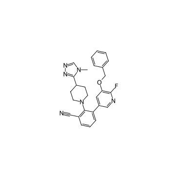 Cn1cnnc1C1CCN(c2c(C#N)cccc2-c2cnc(F)c(OCc3ccccc3)c2)CC1